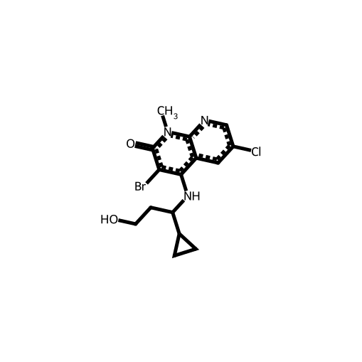 Cn1c(=O)c(Br)c(NC(CCO)C2CC2)c2cc(Cl)cnc21